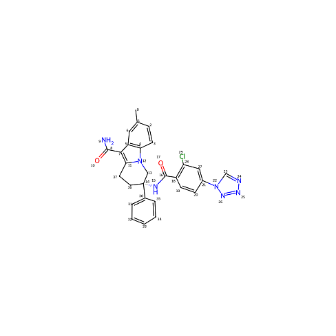 Cc1ccc2c(c1)c(C(N)=O)c1n2C[C@@](NC(=O)c2ccc(-n3cnnn3)cc2Cl)(c2ccccc2)CC1